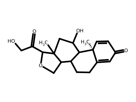 CC12CC(O)C3C(CCC4=CC(=O)C=C[C@@]43C)C1COC2C(=O)CO